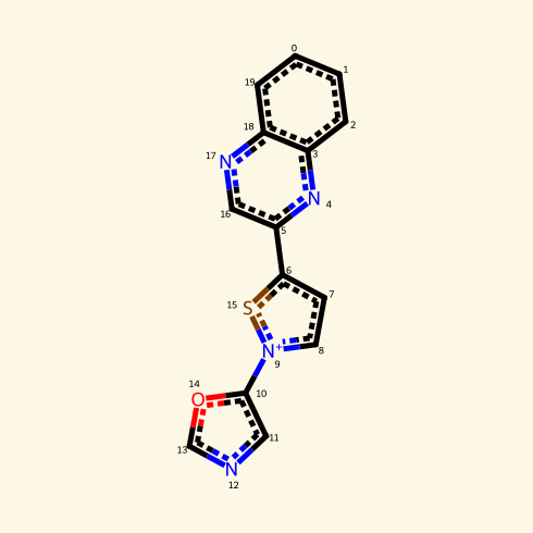 c1ccc2nc(-c3cc[n+](-c4cnco4)s3)cnc2c1